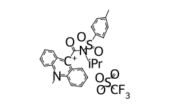 Cc1ccc(S(=O)(=O)N(C(=O)[c+]2c3ccccc3n(C)c3ccccc32)C(C)C)cc1.O=S(=O)([O-])C(F)(F)F